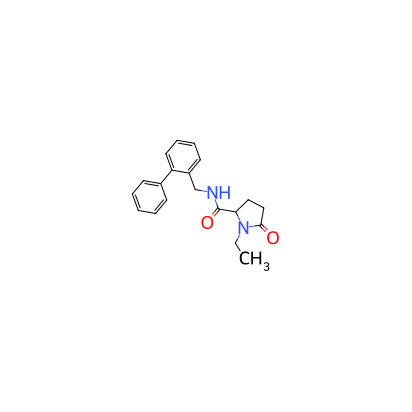 CCN1C(=O)CCC1C(=O)NCc1ccccc1-c1ccccc1